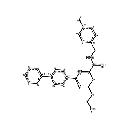 O=C(NC(CCCCO)C(=O)NCc1ccc(Cl)cc1)c1ccc(-c2ccccc2)cc1